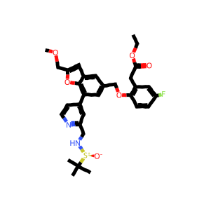 CCOC(=O)Cc1cc(F)ccc1OCc1cc(-c2ccnc(CN[S@@+]([O-])C(C)(C)C)c2)c2oc(COC)cc2c1